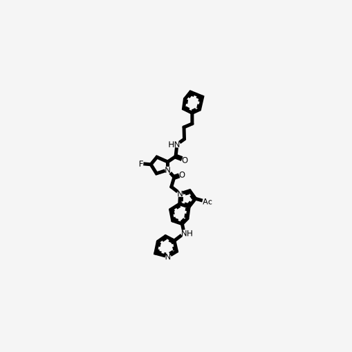 CC(=O)c1cn(CC(=O)N2CC(F)CC2C(=O)NCCCc2ccccc2)c2ccc(Nc3cccnc3)cc12